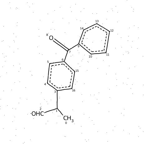 CC([C]=O)c1ccc(C(=O)c2ccccc2)cc1